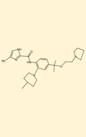 CC1CCN(c2cc(C(C)(C)OCCN3CCCC3)ccc2NC(=O)c2nc(C#N)c[nH]2)CC1